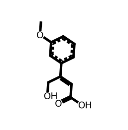 COc1cccc(/C(=C/C(=O)O)CO)c1